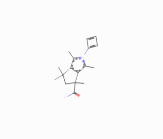 Cc1c2c(c(C)n1C1=CC=C1)C(C)(C(N)=O)CC2(C)C